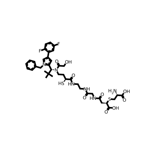 CC(C)(C)[C@H](c1cc(-c2cc(F)ccc2F)cn1Cc1ccccc1)N(CC[C@H](S)C(=O)NCCNC(=O)CNC(=O)C[C@@H](SC[C@H](N)C(=O)O)C(=O)O)C(=O)CO